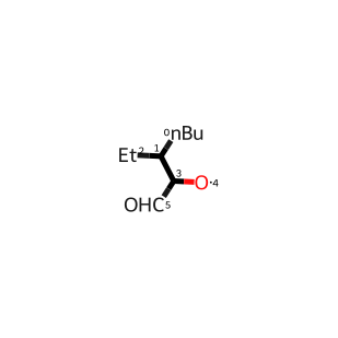 CCCCC(CC)C([O])C=O